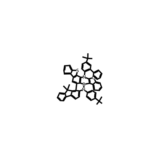 CC(C)(C)c1ccc(N2B3c4c(cc5c(sc6ccccc65)c4N(c4ccc(C(C)(C)C)cc4-c4ccccc4)c4oc5ccccc5c43)-c3c2ccc2c3C(C)(C)c3ccccc3-2)cc1